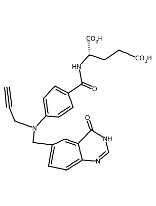 C#CCN(Cc1ccc2nc[nH]c(=O)c2c1)c1ccc(C(=O)N[C@@H](CCC(=O)O)C(=O)O)cc1